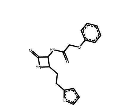 O=C(COc1ccccc1)NC1C(=O)NC1CCc1ccco1